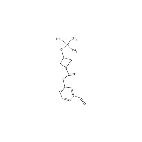 CC(C)(C)OC1CN(C(=O)Cc2cccc(C=O)c2)C1